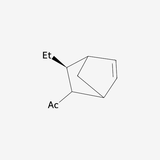 CC[C@H]1C2C=CC(C2)C1C(C)=O